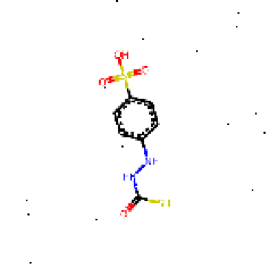 O=C(S)NNc1ccc(S(=O)(=O)O)cc1